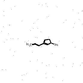 CCCC1=CC(O)CC1